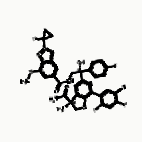 COc1cc(C(=O)NC[C@@](O)(c2ccc(F)cc2)c2cc3c(c(-c4cc(Cl)c(F)cc4F)n2)OC[C@]3(C)C(N)=O)cc2cn(C3(F)CC3)nc12